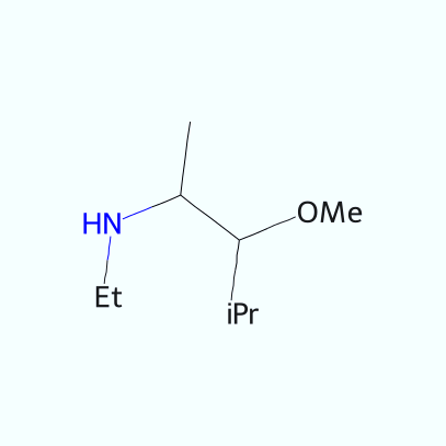 CCNC(C)C(OC)C(C)C